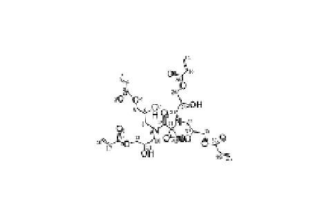 C=CC(=O)OCC(O)CN(CC(O)COC(=O)C=C)C(=O)C1(N(CC(O)COC(=O)C=C)CC(O)COC(=O)C=C)OC1=O